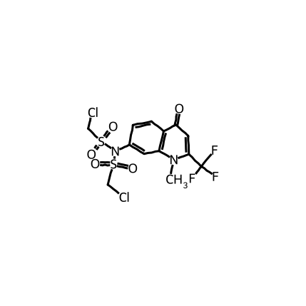 Cn1c(C(F)(F)F)cc(=O)c2ccc(N(S(=O)(=O)CCl)S(=O)(=O)CCl)cc21